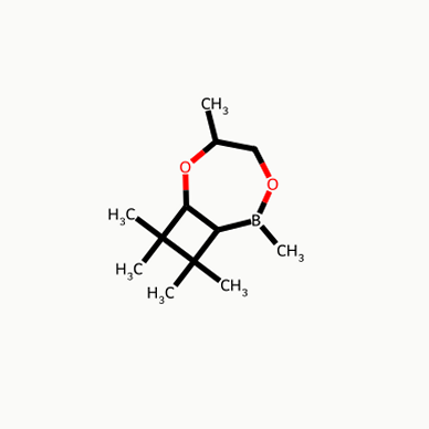 CB1OCC(C)OC2C1C(C)(C)C2(C)C